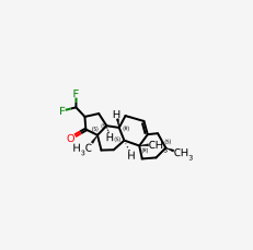 C[C@H]1CC[C@@]2(C)C(=CC[C@@H]3[C@@H]2CC[C@]2(C)C(=O)C(C(F)F)C[C@@H]32)C1